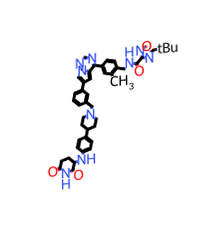 Cc1cc(-c2ncnn3cc(-c4cccc(CN5CCC(c6ccc(NC7CCC(=O)NC7=O)cc6)CC5)c4)cc23)ccc1CNC(=O)c1noc(C(C)(C)C)n1